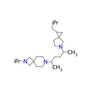 CC(C)CC1CC12CCN(C(C)CCC(C)N1CCC3(CC1)CN(C(C)C)C3)C2